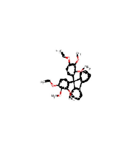 C=COc1ccc(C2(c3ccc(OC=C)c(OC)c3OC)c3ccccc3-c3ccccc32)c(OC)c1OC